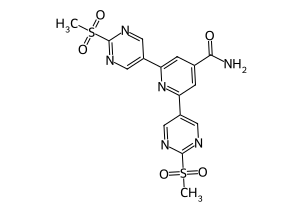 CS(=O)(=O)c1ncc(-c2cc(C(N)=O)cc(-c3cnc(S(C)(=O)=O)nc3)n2)cn1